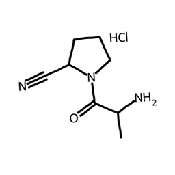 CC(N)C(=O)N1CCCC1C#N.Cl